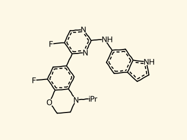 CC(C)N1CCOc2c(F)cc(-c3nc(Nc4ccc5cc[nH]c5c4)ncc3F)cc21